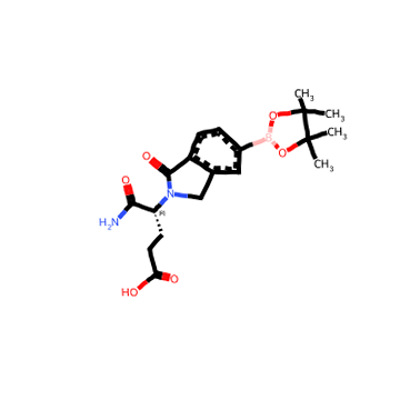 CC1(C)OB(c2ccc3c(c2)CN([C@H](CCC(=O)O)C(N)=O)C3=O)OC1(C)C